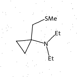 CCN(CC)C1(CSC)CC1